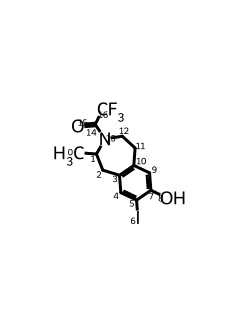 CC1Cc2cc(I)c(O)cc2CCN1C(=O)C(F)(F)F